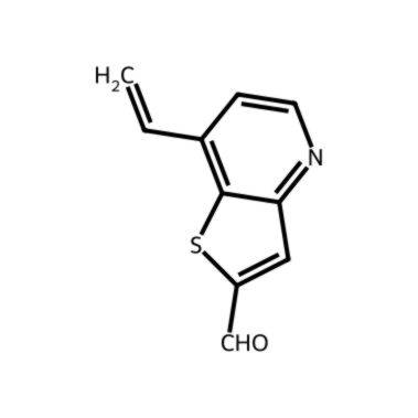 C=Cc1ccnc2cc(C=O)sc12